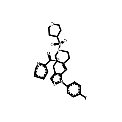 O=C(c1ccccn1)[C@]12Cc3cnn(-c4ccc(F)cc4)c3C=C1CCN(S(=O)(=O)C1CCOCC1)C2